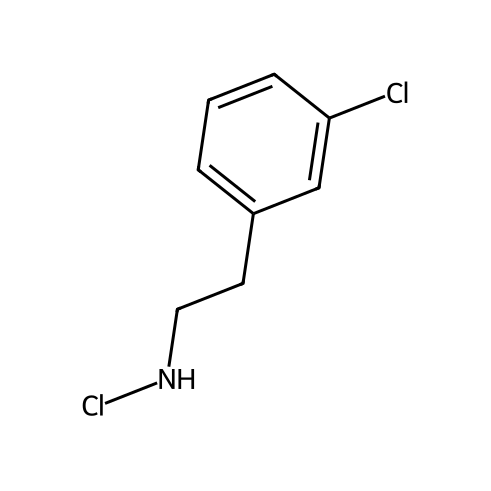 ClNCCc1cccc(Cl)c1